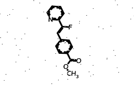 COC(=O)c1ccc(C=C(F)c2ccccn2)cc1